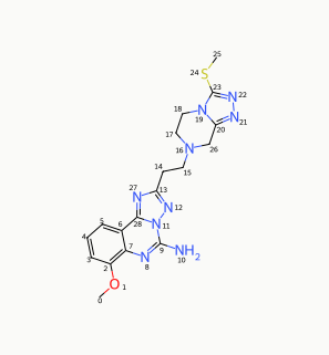 COc1cccc2c1nc(N)n1nc(CCN3CCn4c(nnc4SC)C3)nc21